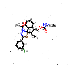 CC(C)C(=O)N1N=C(c2cccc(F)c2)SC1(c1ccccc1)C(C)CCOC(=O)NC(C)(C)C